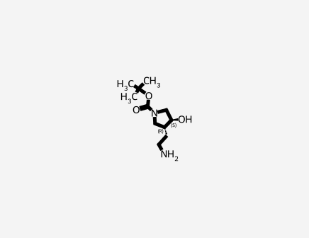 CC(C)(C)OC(=O)N1C[C@@H](CCN)[C@H](O)C1